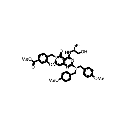 CCC[C@@H](CO)Nc1nc(N(Cc2ccc(OC)cc2)Cc2ccc(OC)cc2)nc2ccn(Cc3ccc(C(=O)OC)cc3OC)c(=O)c12